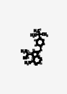 CC(C)(C)c1ccc(Cn2cc(C(N)=[Se])c3c(N)ncnc32)cc1